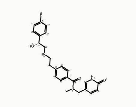 CN(Cc1ccc(=O)[nH]c1)C(=O)c1ccc(CCNC[C@H](O)c2ccc(F)cc2)cc1